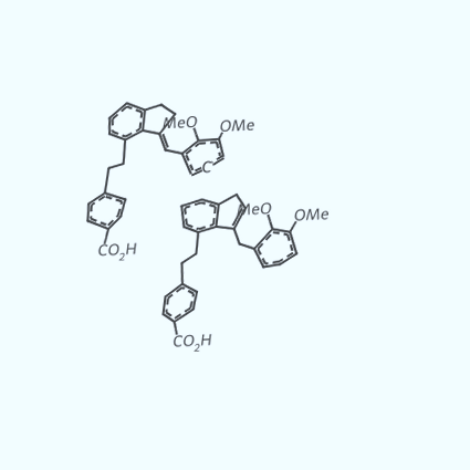 COc1cccc(/C=C2\CCc3cccc(CCc4ccc(C(=O)O)cc4)c32)c1OC.COc1cccc(CC2=CCc3cccc(CCc4ccc(C(=O)O)cc4)c32)c1OC